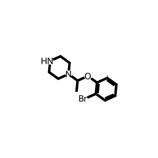 CC(Oc1[c]cccc1Br)N1CCNCC1